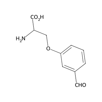 NC(COc1cccc(C=O)c1)C(=O)O